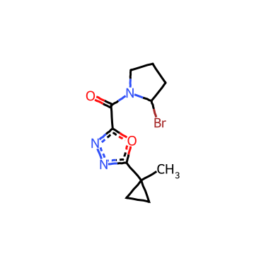 CC1(c2nnc(C(=O)N3CCCC3Br)o2)CC1